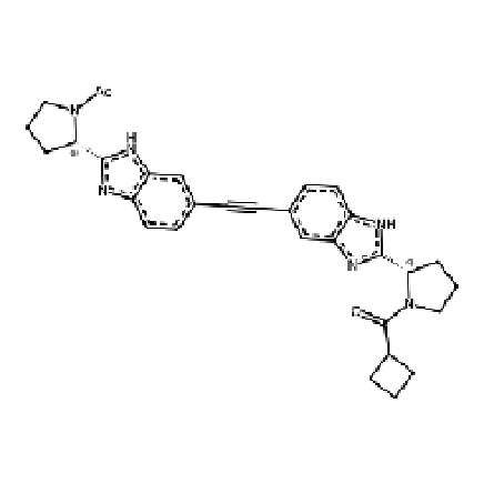 CC(=O)N1CCC[C@H]1c1nc2ccc(C#Cc3ccc4[nH]c([C@@H]5CCCN5C(=O)C5CCC5)nc4c3)cc2[nH]1